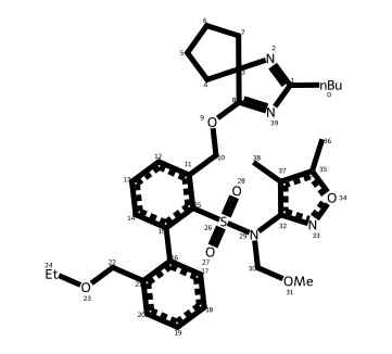 CCCCC1=NC2(CCCC2)C(OCc2cccc(-c3ccccc3COCC)c2S(=O)(=O)N(COC)c2noc(C)c2C)=N1